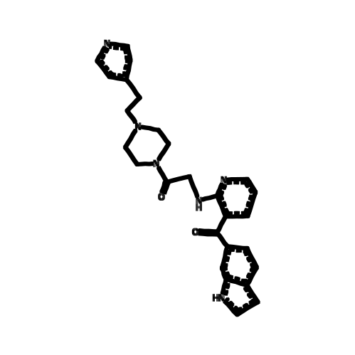 O=C(c1ccc2cc[nH]c2c1)c1cccnc1NCC(=O)N1CCN(CCc2ccncc2)CC1